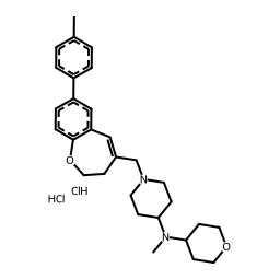 Cc1ccc(-c2ccc3c(c2)C=C(CN2CCC(N(C)C4CCOCC4)CC2)CCO3)cc1.Cl.Cl